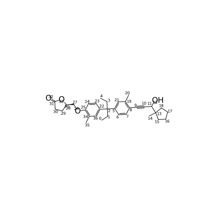 CCC(CC)(c1ccc(C#CC(O)C2(C)CCCC2)c(C)c1)c1ccc(OC[C@H]2CCC(=O)O2)c(C)c1